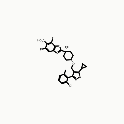 Cc1cccc(Cl)c1-c1noc(C2CC2)c1CO[C@H]1CC[C@](O)(c2nc3cc(F)c(C(=O)O)c(F)c3s2)CC1